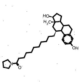 C[C@]12C[C@H](CCCCCCCCCCC(=O)N3CCCC3)C3c4ccc(O)cc4CCC3C1CC[C@@H]2O